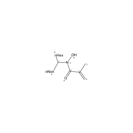 C=C(C)C(=O)N(O)C(CCCCCC)CCCCCCCCC